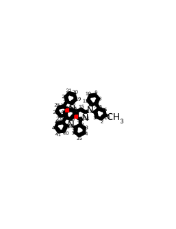 Cc1ccc2c(c1)c1ccccc1n2-c1cc(-n2c3ccccc3c3ccccc32)cc(-c2ccccc2-n2c3ccccc3c3ccccc32)n1